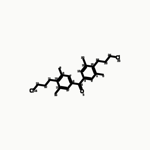 Cc1cc(C(=O)c2cc(C)c(CCCCl)c(C)c2)cc(C)c1CCCCl